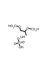 CC(COC(=O)O)OC(=O)O.[LiH].[O-][Cl+3]([O-])([O-])O